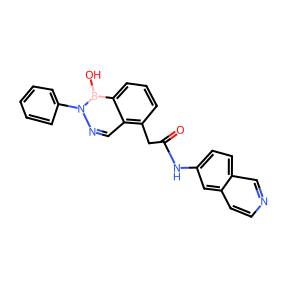 O=C(Cc1cccc2c1C=NN(c1ccccc1)B2O)Nc1ccc2cnccc2c1